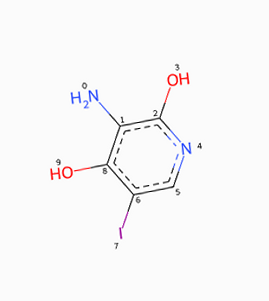 Nc1c(O)ncc(I)c1O